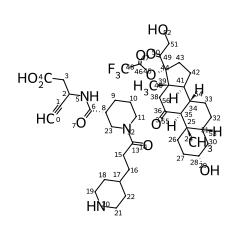 C#CC(CC(=O)O)NC(=O)[C@@H]1CCCN(C(=O)CCC2CCNCC2)C1.C[C@]12CC[C@@H](O)C[C@H]1CC[C@@H]1[C@@H]2C(=O)C[C@@]2(C)[C@H]1CC[C@]2(OC(=O)C(F)(F)F)C(=O)CO